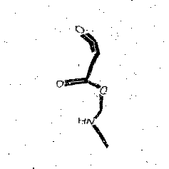 CNOC(=O)C=O